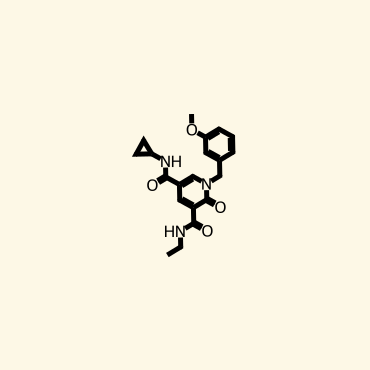 CCNC(=O)c1cc(C(=O)NC2CC2)cn(Cc2cccc(OC)c2)c1=O